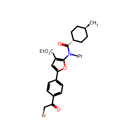 CCOC(=O)c1cc(-c2ccc(C(=O)CBr)cc2)oc1N(C(=O)[C@H]1CC[C@H](C)CC1)C(C)C